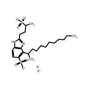 CCCCCCCCCCC(C)c1c(S(=O)(=O)[O-])ccc2[nH]c(CCC(C)S(=O)(=O)[O-])nc12.[K+].[K+]